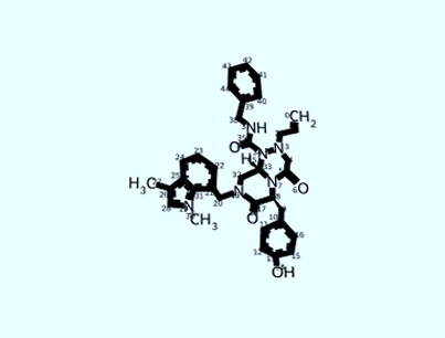 C=CCN1CC(=O)N2[C@@H](Cc3ccc(O)cc3)C(=O)N(Cc3cccc4c(C)cn(C)c34)C[C@@H]2N1C(=O)NCc1ccccc1